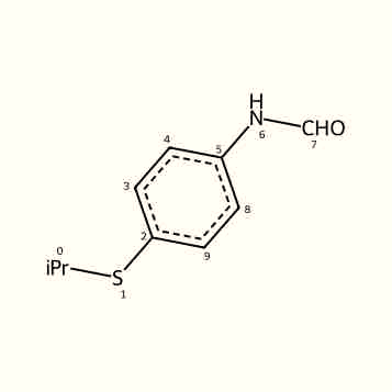 CC(C)Sc1ccc(NC=O)cc1